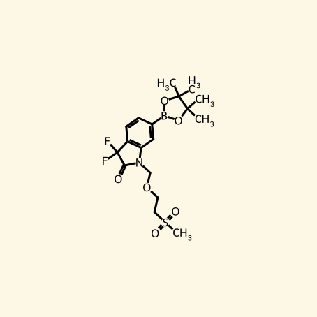 CC1(C)OB(c2ccc3c(c2)N(COCCS(C)(=O)=O)C(=O)C3(F)F)OC1(C)C